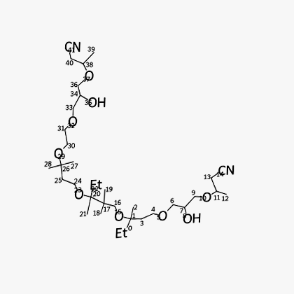 CCC(C)(CCOCC(O)COC(C)CC#N)OCC(C)(C)C(C)(CC)OCCC(C)(C)OCCOCC(O)COC(C)CC#N